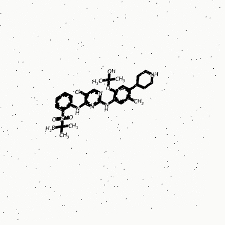 BC(C)(C)S(=O)(=O)c1ccccc1Nc1nc(Nc2cc(C)c(C3CCNCC3)cc2OC(C)(C)O)ncc1Cl